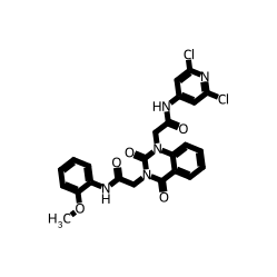 COc1ccccc1NC(=O)Cn1c(=O)c2ccccc2n(CC(=O)Nc2cc(Cl)nc(Cl)c2)c1=O